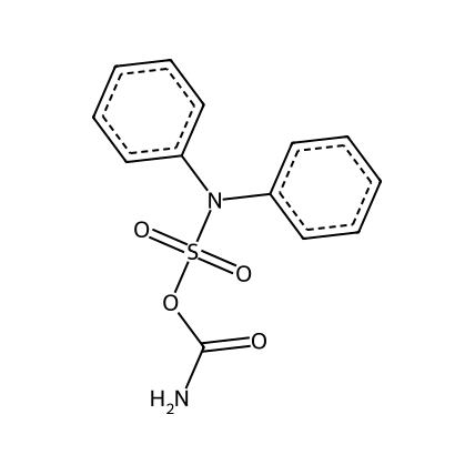 NC(=O)OS(=O)(=O)N(c1ccccc1)c1ccccc1